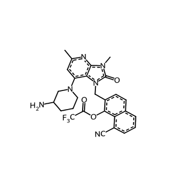 Cc1cc(N2CCCC(N)C2)c2c(n1)n(C)c(=O)n2Cc1ccc2cccc(C#N)c2c1OC(=O)C(F)(F)F